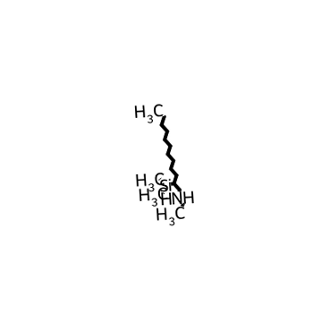 CCCCCCCCCCC(CNCC)[SiH](C)C